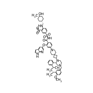 CCc1cc(CN2CCN(C3CC4(CCN(c5ccc(C(=O)NS(=O)(=O)c6ccc(NC[C@H]7CC[C@](C)(O)CC7)c([N+](=O)[O-])c6)c(Oc6cnc7[nH]ccc7c6)c5)CC4)C3)C(c3ccccc3C(C)C)C2)ccc1OC